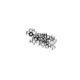 Cc1cc(NC(=O)c2c(C)c(C(O)C(=O)N[C@H](C(=O)OC(C)(C)C)C(C)(C)C)n(C)c2C)ccc1F